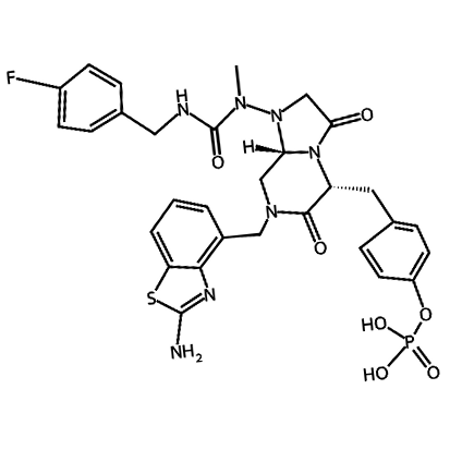 CN(C(=O)NCc1ccc(F)cc1)N1CC(=O)N2[C@H](Cc3ccc(OP(=O)(O)O)cc3)C(=O)N(Cc3cccc4sc(N)nc34)C[C@@H]21